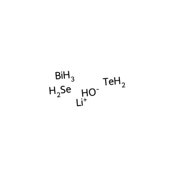 [BiH3].[Li+].[OH-].[SeH2].[TeH2]